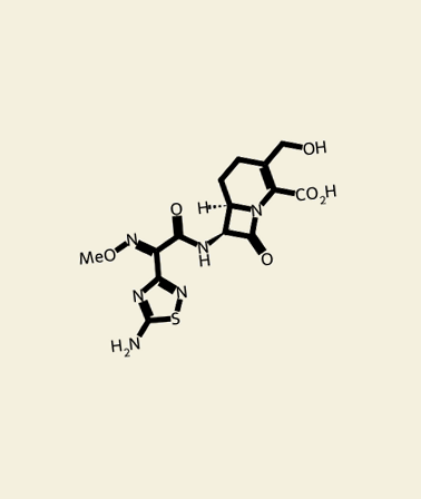 CO/N=C(/C(=O)N[C@@H]1C(=O)N2C(C(=O)O)=C(CO)CC[C@H]12)c1nsc(N)n1